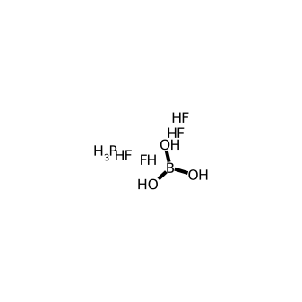 F.F.F.F.OB(O)O.P